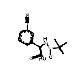 CC(C)(C)[S+]([O-])NC(C(=O)O)c1cccc(C#N)c1